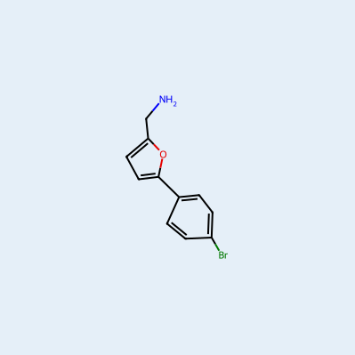 NCc1ccc(-c2ccc(Br)cc2)o1